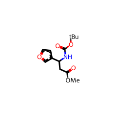 COC(=O)CC(NC(=O)OC(C)(C)C)c1ccoc1